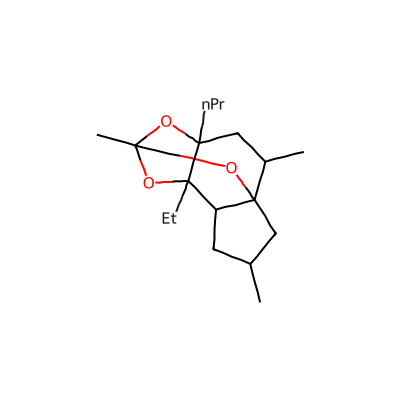 CCCC12CC(C)C34CC(C)CC3C1(CC)OC(C)(O4)O2